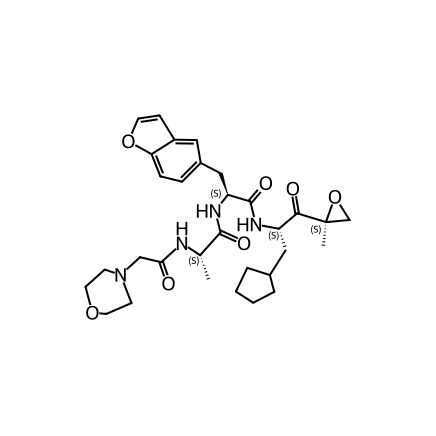 C[C@H](NC(=O)CN1CCOCC1)C(=O)N[C@@H](Cc1ccc2occc2c1)C(=O)N[C@@H](CC1CCCC1)C(=O)[C@]1(C)CO1